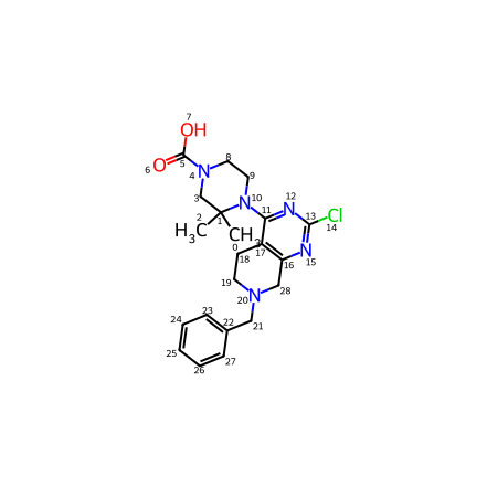 CC1(C)CN(C(=O)O)CCN1c1nc(Cl)nc2c1CCN(Cc1ccccc1)C2